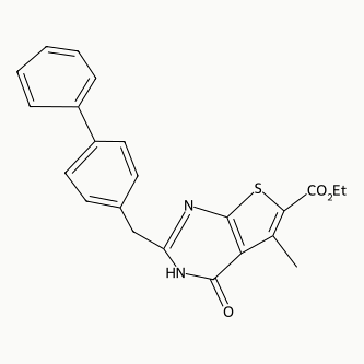 CCOC(=O)c1sc2nc(Cc3ccc(-c4ccccc4)cc3)[nH]c(=O)c2c1C